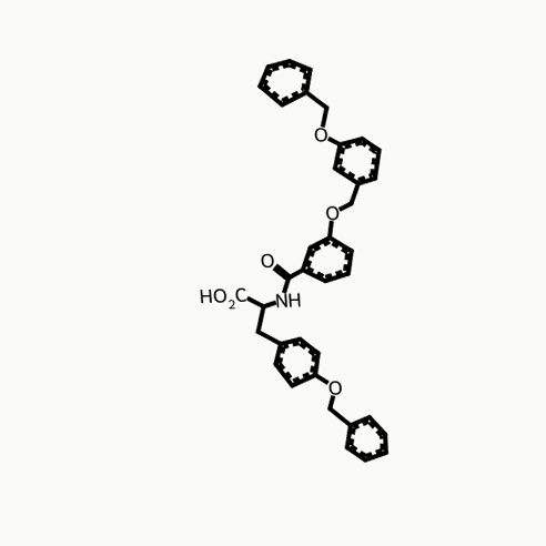 O=C(NC(Cc1ccc(OCc2ccccc2)cc1)C(=O)O)c1cccc(OCc2cccc(OCc3ccccc3)c2)c1